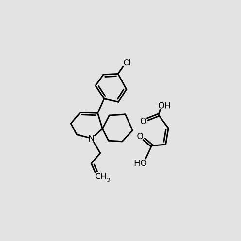 C=CCN1CCC=C(c2ccc(Cl)cc2)C12CCCCC2.O=C(O)/C=C\C(=O)O